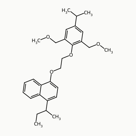 CCC(C)c1ccc(OCCOc2c(COC)cc(C(C)C)cc2COC)c2ccccc12